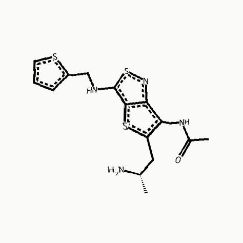 CC(=O)Nc1c(C[C@H](C)N)sc2c(NCc3cccs3)snc12